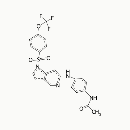 CC(=O)Nc1ccc(Nc2cc3c(ccn3S(=O)(=O)c3ccc(OC(F)(F)F)cc3)cn2)cc1